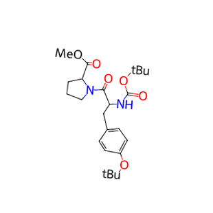 COC(=O)C1CCCN1C(=O)C(Cc1ccc(OC(C)(C)C)cc1)NC(=O)OC(C)(C)C